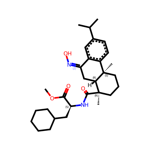 COC(=O)[C@H](CC1CCCCC1)NC(=O)[C@]1(C)CCC[C@]2(C)c3ccc(C(C)C)cc3/C(=N\O)C[C@@H]12